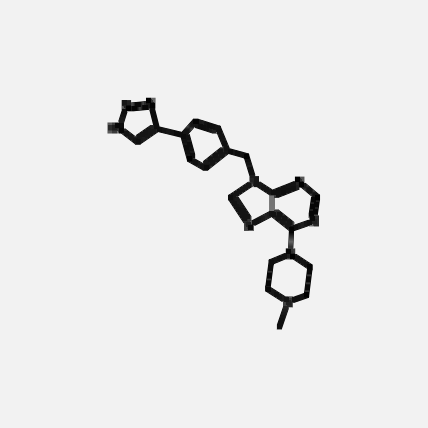 CN1CCN(c2ncnc3c2ncn3Cc2ccc(-c3c[nH]nn3)cc2)CC1